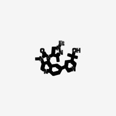 CCn1cc(-n2c(=O)n(C)c3cnc4ccc(-c5cncc(C(C)(C)O)c5)cc4c32)c(C)n1